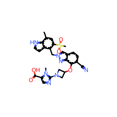 Cc1cc(S(C)(=O)=O)c(Cn2cc3ccc(C#N)c(OC4CN(c5ncc(C(=O)O)n5C)C4)c3n2)c2cc[nH]c12